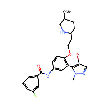 COC1CCC(CCOc2ccc(NC(=O)c3cccc(F)c3)cc2-c2c(Br)cnn2C)NC1